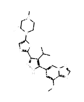 COc1cc(-c2[nH]nc(-c3ncc(N4CCN(C)C[C@H]4C)s3)c2C(C)C)cn2ncnc12